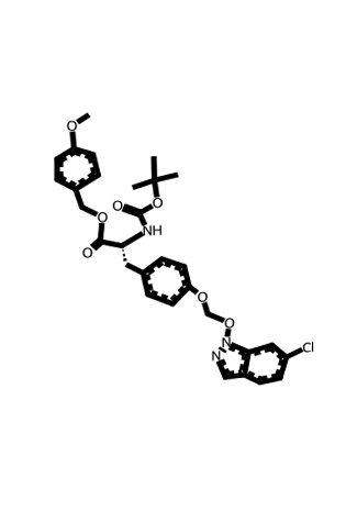 COc1ccc(COC(=O)[C@@H](Cc2ccc(OCOn3ncc4ccc(Cl)cc43)cc2)NC(=O)OC(C)(C)C)cc1